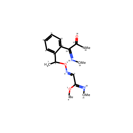 CCC(C)OC(C=NOC(C)c1ccccc1C(=NOC)C(=O)NC)=NOC